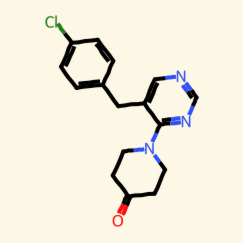 O=C1CCN(c2ncncc2Cc2ccc(Cl)cc2)CC1